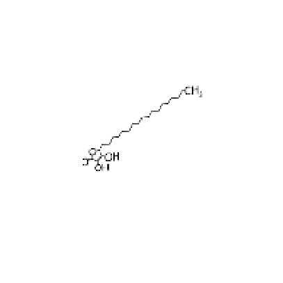 CCCCCCCCCCCCCCCCCCC1OC(=O)C(O)=C1O